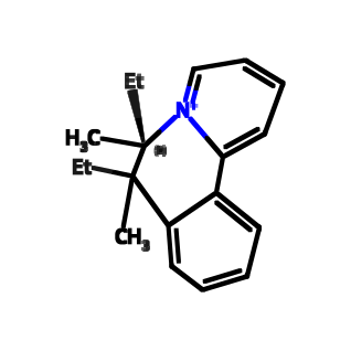 CCC1(C)c2ccccc2-c2cccc[n+]2[C@]1(C)CC